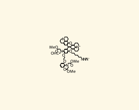 COC(=O)CN(CC=O)c1cc(C2=c3cc4c5c(c3Oc3c2cc2c6c3CCCN6CCC2)CCC[N+]=5CCC4)c(OCCCCCCN=[N+]=[N-])cc1OCCOc1ccccc1N(CC(=O)OC)CC(=O)OC